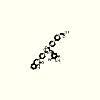 Nc1c(Br)cc(C[C@@H](NC(=O)N2CCC(N3CCc4ccccc4NC3=O)CC2)C(=O)N2CCN(C3CCN(CC(=O)O)CC3)CC2)cc1Br